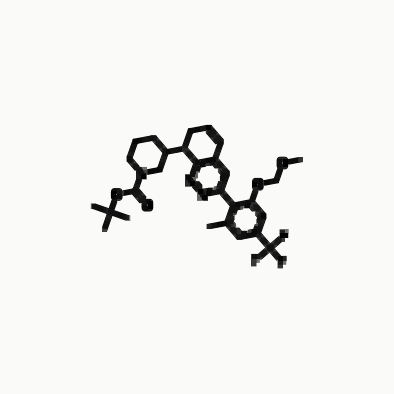 COCOc1cc(C(F)(F)F)cc(C)c1-c1cc2c(nn1)C(C1CCCN(C(=O)OC(C)(C)C)C1)CC=C2